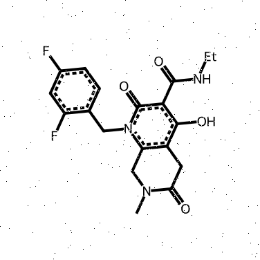 CCNC(=O)c1c(O)c2c(n(Cc3ccc(F)cc3F)c1=O)CN(C)C(=O)C2